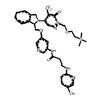 C[Si](C)(C)CCOCn1ncc(N2Cc3ccccc3C2COc2cncc(NC(=O)CCNc3ccc(C#N)cn3)c2)c(C(F)(F)F)c1=O